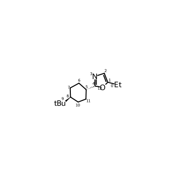 CCc1cnc([C@H]2CC[C@H](C(C)(C)C)CC2)o1